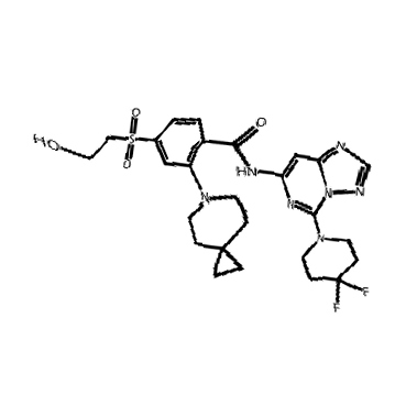 O=C(Nc1cc2ncnn2c(N2CCC(F)(F)CC2)n1)c1ccc(S(=O)(=O)CCO)cc1N1CCC2(CC1)CC2